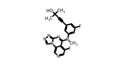 CN(c1cc(F)cc(C#CC(C)(C)O)c1)c1nc2nncn2c2cncc(F)c12